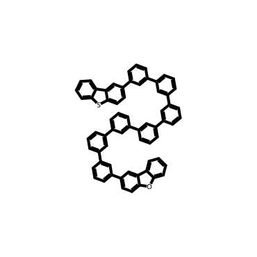 c1cc(-c2cccc(-c3cccc(-c4cccc(-c5ccc6oc7ccccc7c6c5)c4)c3)c2)cc(-c2cccc(-c3cccc(-c4cccc(-c5ccc6sc7ccccc7c6c5)c4)c3)c2)c1